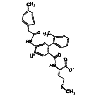 CSCC[C@H](NC(=O)c1ccc(NC(=O)Cc2ccc(C)cc2)cc1-c1ccccc1C)C(=O)[O-].[Li+]